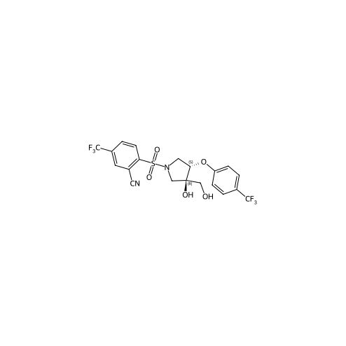 N#Cc1cc(C(F)(F)F)ccc1S(=O)(=O)N1C[C@H](Oc2ccc(C(F)(F)F)cc2)[C@](O)(CO)C1